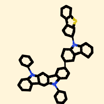 c1ccc(-n2c3ccccc3c3cc4c(cc32)c2cc(-c3ccc5c(c3)c3ccccc3n5-c3ccc5c(c3)sc3ccccc35)ccc2n4-c2ccccc2)cc1